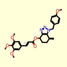 C=C1CCC(OC(=O)/C=C/c2cc(OC)c(OC)c(OC)c2)c2nnn(Cc3ccc(OC)cc3)c21